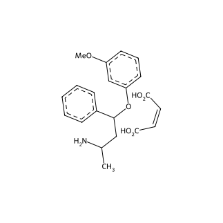 COc1cccc(OC(CC(C)N)c2ccccc2)c1.O=C(O)/C=C\C(=O)O